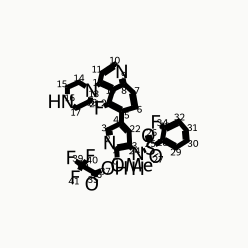 COc1ncc(-c2ccc3nccc(N4CCNCC4)c3c2F)cc1NS(=O)(=O)c1ccccc1F.O=C(O)C(F)(F)F